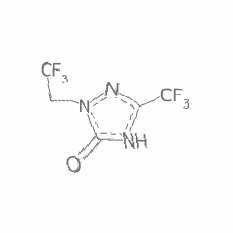 O=c1[nH]c(C(F)(F)F)nn1CC(F)(F)F